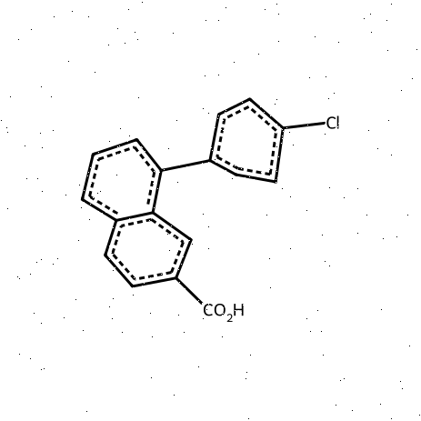 O=C(O)c1ccc2cccc(-c3ccc(Cl)cc3)c2c1